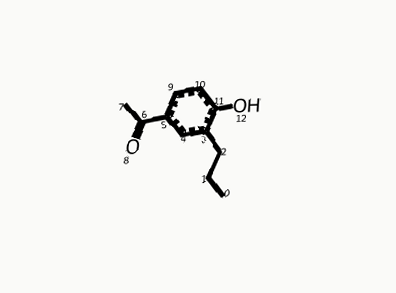 CCCc1cc(C(C)=O)ccc1O